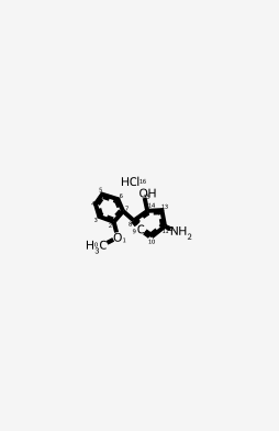 COc1ccccc1-c1ccc(N)cc1O.Cl